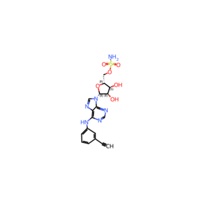 C#Cc1cccc(Nc2ncnc3c2ncn3[C@@H]2O[C@H](COS(N)(=O)=O)[C@@H](O)[C@H]2O)c1